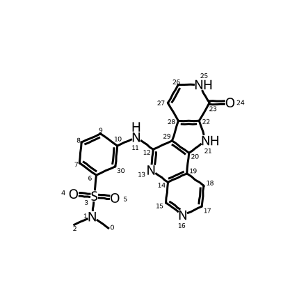 CN(C)S(=O)(=O)c1cccc(Nc2nc3cnccc3c3[nH]c4c(=O)[nH]ccc4c23)c1